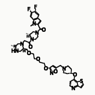 C[C@@H]1CN(CC(=O)N2CCN(C(=O)c3cc4cc(F)c(F)cc4n3C)C[C@H]2C)[C@@H](COCCOCCOc2cc(CN3CCC(Oc4ccnc5ccsc45)CC3)on2)CN1